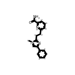 Cn1cc(-c2ccccc2)nc1CCc1cccc(C(N)=O)n1